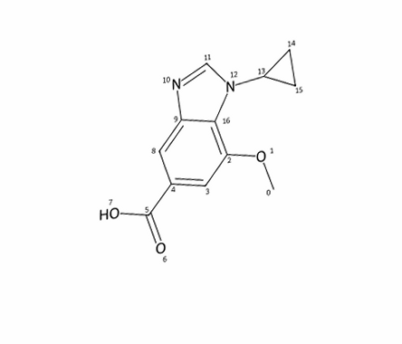 COc1cc(C(=O)O)cc2ncn(C3CC3)c12